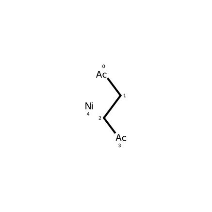 CC(=O)CCC(C)=O.[Ni]